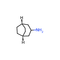 NC1C[C@H]2CC[C@H](CC2)C1